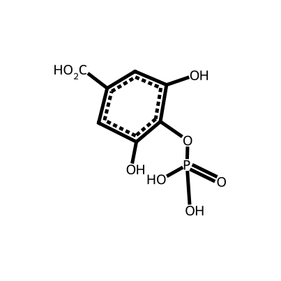 O=C(O)c1cc(O)c(OP(=O)(O)O)c(O)c1